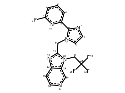 Fc1cccc(-c2nccn2Cc2nc3ccncc3n2CC(F)(F)F)n1